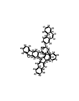 c1ccc(-c2nc(-c3ccc4c(ccc5ccccc54)c3)nc(-c3cc4c(cc3-n3c5ccccc5c5cc6ccccc6cc53)oc3ccccc34)n2)cc1